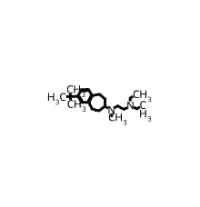 CCN(CC)CCN(C)C1CCc2ccc(C(C)(C)C)cc2CC1